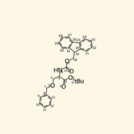 CC(C)(C)OC(=O)C(COCc1ccccc1)NC(=O)OCC1c2ccccc2-c2ccccc21